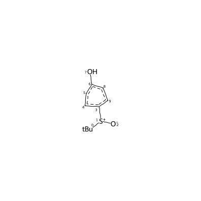 CC(C)(C)[S+]([O-])c1ccc(O)cc1